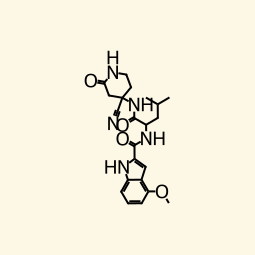 COc1cccc2[nH]c(C(=O)NC(CC(C)C)C(=O)NC3(C#N)CCNC(=O)C3)cc12